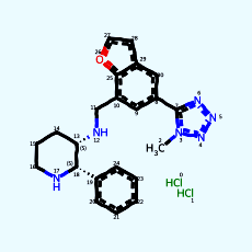 Cl.Cl.Cn1nnnc1-c1cc(CN[C@H]2CCCN[C@H]2c2ccccc2)c2occc2c1